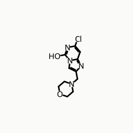 Oc1nc(Cl)cc2nc(CN3CCOCC3)cn12